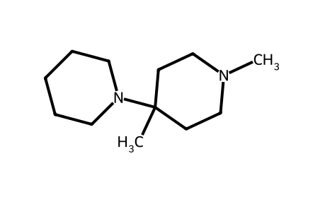 CN1CCC(C)(N2CCCCC2)CC1